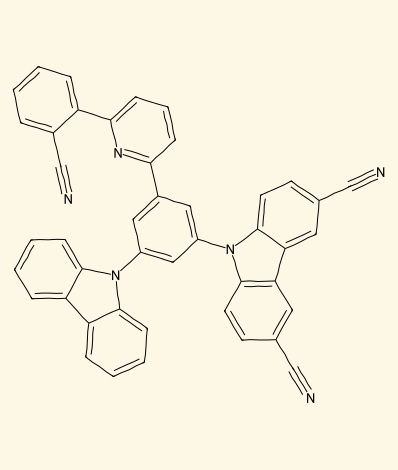 N#Cc1ccc2c(c1)c1cc(C#N)ccc1n2-c1cc(-c2cccc(-c3ccccc3C#N)n2)cc(-n2c3ccccc3c3ccccc32)c1